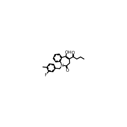 CCCC(=O)C1=C(O)c2ccccc2N(Cc2ccc(C)c(F)c2)C(=O)C1